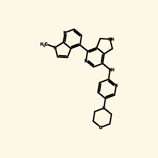 Cn1ccc2c(-c3ncc(Nc4ccc(N5CCOCC5)cn4)c4c3CNC4)ccnc21